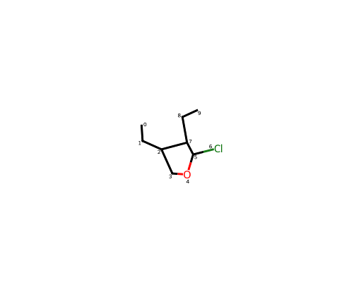 CCC1COC(Cl)C1CC